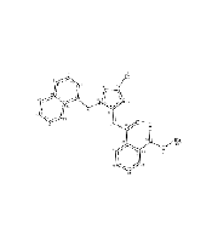 CCc1cn(Cc2cccc3ccccc23)/c(=N/C(=O)c2ccccc2C(=O)OC(C)(C)C)s1